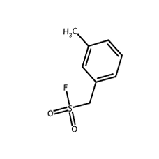 Cc1cccc(CS(=O)(=O)F)c1